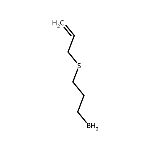 BCCCSCC=C